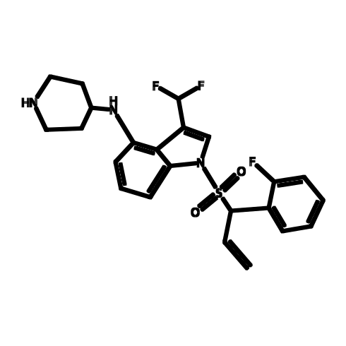 C=CC(c1ccccc1F)S(=O)(=O)n1cc(C(F)F)c2c(NC3CCNCC3)cccc21